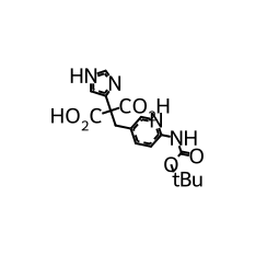 CC(C)(C)OC(=O)Nc1ccc(CC(C(=O)O)(C(=O)O)c2c[nH]cn2)cn1